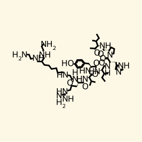 CCC(C)[C@H](NC(=O)[C@@H]1CCCN1C(=O)[C@H](Cc1cnc[nH]1)NC(=O)[C@@H](NC(=O)[C@H](Cc1ccc(O)cc1)NC(=O)[C@@H](NC(=O)[C@H](CCCNC(=N)N)NC(=O)CNCCCCCCC(CNCCN)CNCCN)C(C)C)C(C)CC)C(C)=O